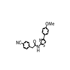 COc1ccc(-c2csc(NC(=O)Cc3ccc(C#N)cc3)n2)cc1